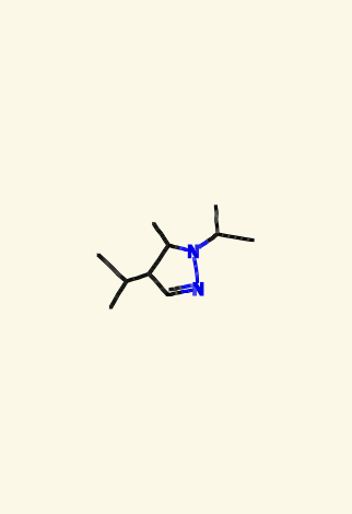 CC(C)C1C=NN(C(C)C)C1C